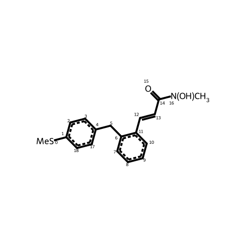 CSc1ccc(Cc2ccccc2/C=C/C(=O)N(C)O)cc1